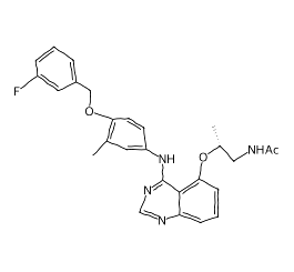 CC(=O)NC[C@@H](C)Oc1cccc2ncnc(Nc3ccc(OCc4cccc(F)c4)c(C)c3)c12